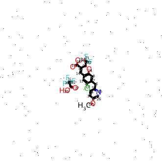 COc1ccc(Cc2cc3c(cc2Cl)C=C(C(=O)O)C(C(F)(F)F)O3)nc1.O=C(O)C(F)(F)F